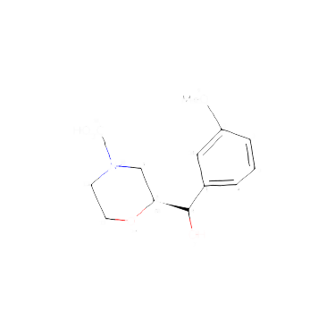 COc1cccc(C(O)[C@@H]2CN(C(=O)O)CCO2)c1